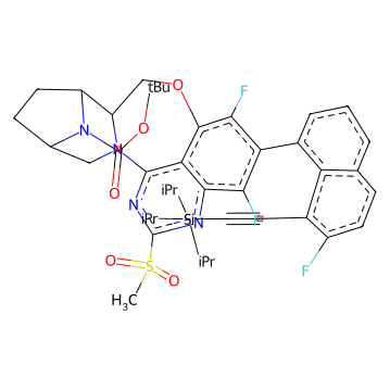 CC(C)[Si](C#Cc1c(F)ccc2cccc(-c3c(F)c4c5c(nc(S(C)(=O)=O)nc5c3F)N3CC5CCC(C3CO4)N5C(=O)OC(C)(C)C)c12)(C(C)C)C(C)C